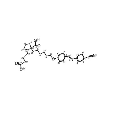 N#Cc1ccc(N=Nc2ccc(OCCCCCCC3(C(=O)O)CCCC3CCCC(=O)O)cc2)cc1